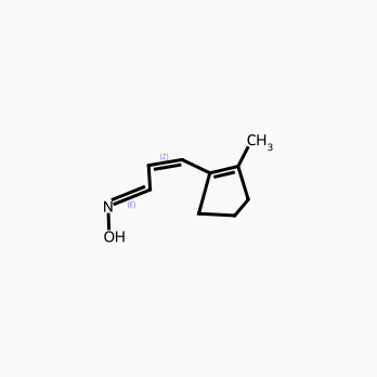 CC1=C(/C=C\C=N\O)CCC1